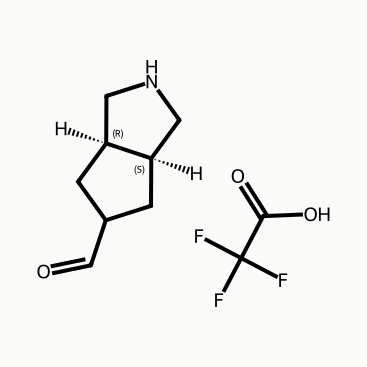 O=C(O)C(F)(F)F.O=CC1C[C@H]2CNC[C@H]2C1